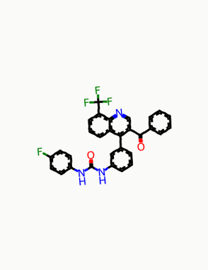 O=C(Nc1ccc(F)cc1)Nc1cccc(-c2c(C(=O)c3ccccc3)cnc3c(C(F)(F)F)cccc23)c1